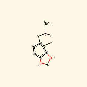 CNC(C)Cc1ccc2c(c1C)OCO2